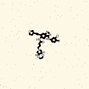 O=C(/C=C/CN1C[C@@H]2OCCO[C@@H]2C1)Nc1cc2c(Nc3ccc(F)c(Cl)c3)ncnc2cc1C#CC1CCOC1